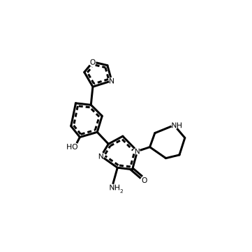 Nc1nc(-c2cc(-c3cocn3)ccc2O)cn(C2CCCNC2)c1=O